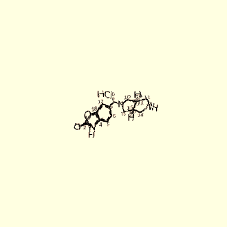 Cl.O=c1[nH]c2ccc(CN3C[C@H]4CNC[C@@H]4C3)cc2o1